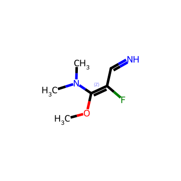 CO/C(=C(\F)C=N)N(C)C